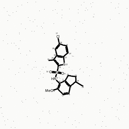 COc1ccc2c(c1NS(=O)(=O)c1sc3ccc(Cl)cc3c1C)CCC2C